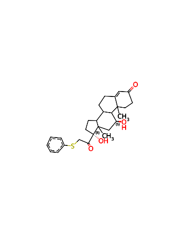 CC12CCC(=O)C=C1CCC1C2[C@@H](O)CC2(C)C1CC[C@]2(O)C(=O)CSc1ccccc1